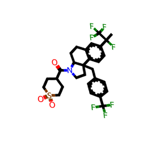 CC(F)(c1ccc2c(c1)CCC1N(C(=O)C3CCS(=O)(=O)CC3)CCC21Cc1ccc(C(F)(F)F)cc1)C(F)(F)F